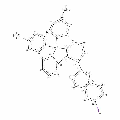 Cc1ccc(C2(c3ccc(C)cc3)c3ccccc3-c3c(-c4ccc5cc(I)ccc5c4)cccc32)cc1